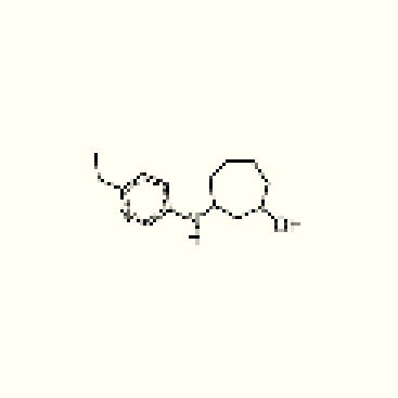 CCc1ccc(NC2CCCCC(O)C2)cn1